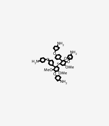 COc1cc(Sc2cc(OC)c(Oc3ccc(N)cc3)c(OC)c2-c2ccc(Oc3ccc(N)cc3)cc2)c(-c2ccc(Oc3ccc(N)cc3)cc2)c(OC)c1Oc1ccc(N)cc1